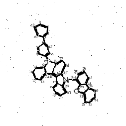 c1ccc(-c2ccc(-n3c4ccccc4c4c5c6ccccc6n(-c6cccc7c6oc6ccccc67)c5ccc43)cc2)cc1